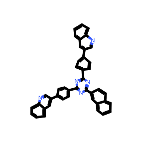 c1ccc2cc(-c3nc(-c4ccc(-c5cnc6ccccc6c5)cc4)nc(-c4ccc(-c5cnc6ccccc6c5)cc4)n3)ccc2c1